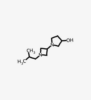 CC(C)CN1CC(N2CCC(O)C2)C1